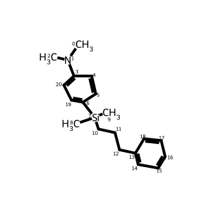 CN(C)c1ccc([Si](C)(C)CCCc2cc[c]cc2)cc1